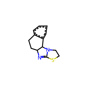 c1ccc2c(c1)CCC1N=C3SCCN3C21